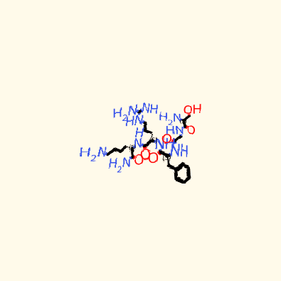 N=C(N)NCCC[C@H](NC(=O)[C@H](Cc1ccccc1)NC(=O)CNC(=O)[C@@H](N)CO)C(=O)N[C@@H](CCCCN)C(N)=O